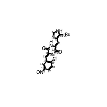 CC(C)(C)c1[nH]cnc1/C=c1\[nH]c(=O)/c(=C/c2cc(N=O)ccc2Cl)[nH]c1=O